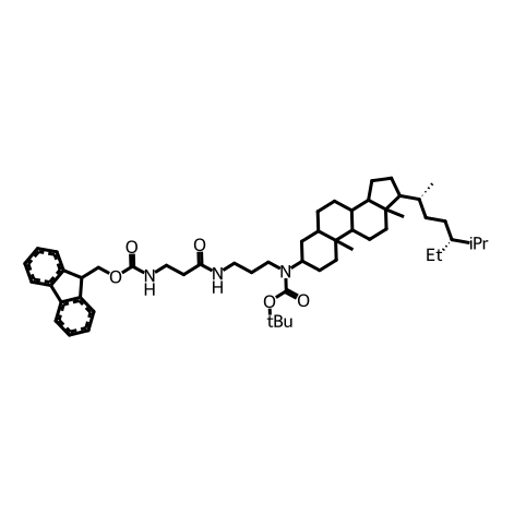 CC[C@H](CC[C@@H](C)C1CCC2C3CCC4CC(N(CCCNC(=O)CCNC(=O)OCC5c6ccccc6-c6ccccc65)C(=O)OC(C)(C)C)CCC4(C)C3CCC21C)C(C)C